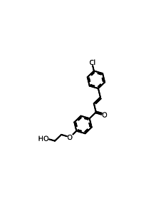 O=C(C=Cc1ccc(Cl)cc1)c1ccc(OCCO)cc1